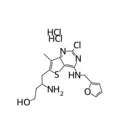 Cc1c(CC(N)CCO)sc2c(NCc3ccco3)nc(Cl)nc12.Cl.Cl